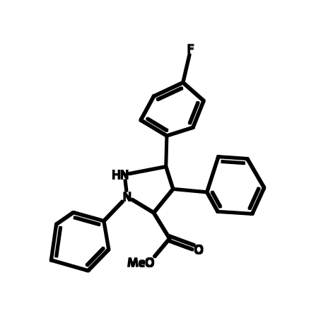 COC(=O)C1C(c2ccccc2)C(c2ccc(F)cc2)NN1c1ccccc1